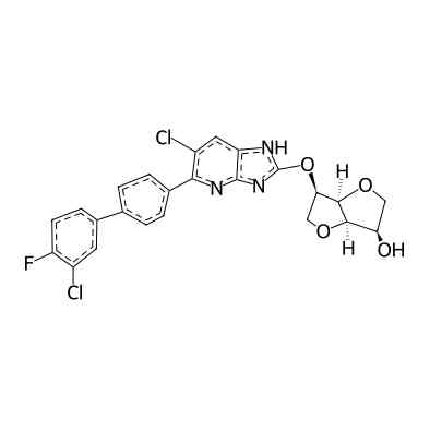 O[C@@H]1CO[C@H]2[C@@H]1OC[C@H]2Oc1nc2nc(-c3ccc(-c4ccc(F)c(Cl)c4)cc3)c(Cl)cc2[nH]1